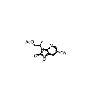 CC(=O)OC[C@@H](C)n1c(=O)[nH]c2cc(C#N)cnc21